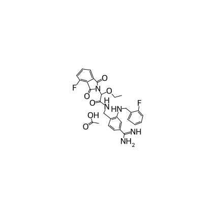 CC(=O)O.CCOC(C(=O)NCc1ccc(C(=N)N)cc1NCc1ccccc1F)N1C(=O)c2cccc(F)c2C1=O